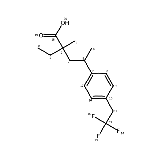 CCC(C)(CC(C)c1ccc(CC(F)(F)F)cc1)C(=O)O